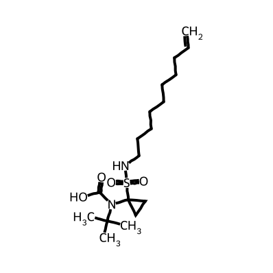 C=CCCCCCCCCNS(=O)(=O)C1(N(C(=O)O)C(C)(C)C)CC1